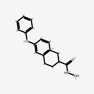 O=C(NO)C1CCc2cc(Oc3ccccc3)ccc2C1